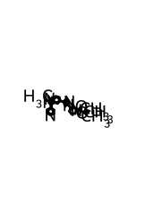 Cn1nc(-c2ccncc2)c2cc(-c3cnn(C4CCCN(C(=O)OC(C)(C)C)C4)c3)ccc21